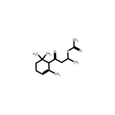 CC(=O)SC(C)CC(=O)C1C(C)=CCCC1(C)C